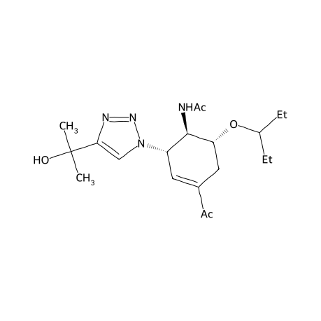 CCC(CC)O[C@@H]1CC(C(C)=O)=C[C@H](n2cc(C(C)(C)O)nn2)[C@H]1NC(C)=O